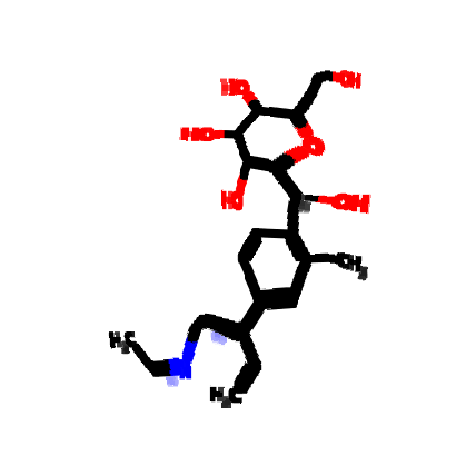 C=C/C(=C\N=C/C)c1ccc([C@@H](O)C2OC(CO)C(O)C(O)C2O)c(C)c1